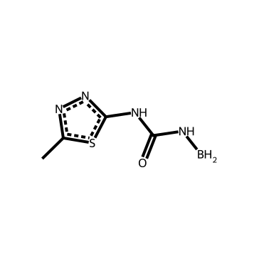 BNC(=O)Nc1nnc(C)s1